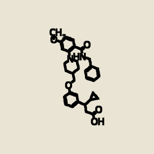 COc1ccc(C(=O)NCc2ccccc2)c(N2CCC(COc3cccc(C(CC(=O)O)C4CC4)c3)CC2)c1